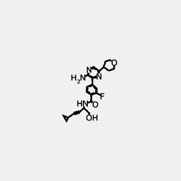 Nc1ncc(C2CCOCC2)nc1-c1ccc(C(=O)NC(C#CC2CC2)CO)c(F)c1